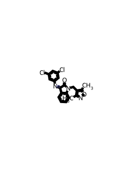 Cc1noc(C)c1CN1C(=O)/C(=N\c2cc(Cl)cc(Cl)c2)c2ccccc21